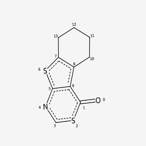 O=c1scnc2sc3c(c12)CCCC3